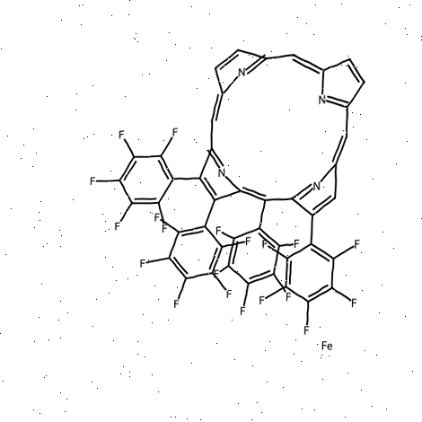 Fc1c(F)c(F)c(C2=CC3=CC4=NC(=CC5=NC(=CC6=NC(=C(c7c(F)c(F)c(F)c(F)c7F)C2=N3)C(c2c(F)c(F)c(F)c(F)c2F)=C6c2c(F)c(F)c(F)c(F)c2F)C=C5)C=C4)c(F)c1F.[Fe]